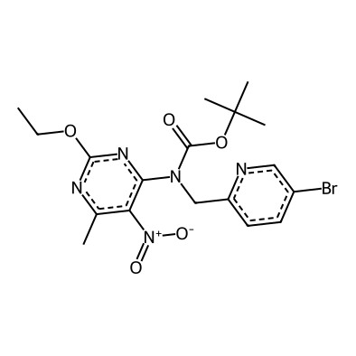 CCOc1nc(C)c([N+](=O)[O-])c(N(Cc2ccc(Br)cn2)C(=O)OC(C)(C)C)n1